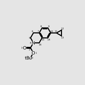 CC(C)(C)OC(=O)N1CCc2ccc(C3CC3)cc2C1